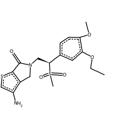 CCOc1cc([C@H](CN2Cc3c(N)csc3C2=O)S(C)(=O)=O)ccc1OC